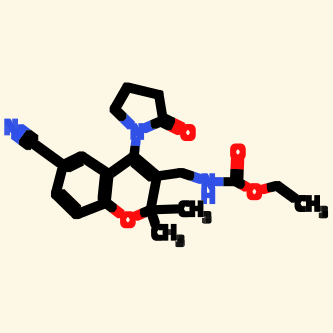 CCOC(=O)NCC1=C(N2CCCC2=O)c2cc(C#N)ccc2OC1(C)C